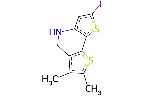 Cc1sc2c(c1C)CNc1cc(I)sc1-2